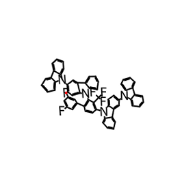 Fc1cc(F)cc(-c2ccc(-n3c4ccccc4c4cc(-n5c6ccccc6c6ccccc65)ccc43)c(C(F)(F)F)c2-n2c3ccccc3c3cc(-n4c5ccccc5c5ccccc54)ccc32)c1